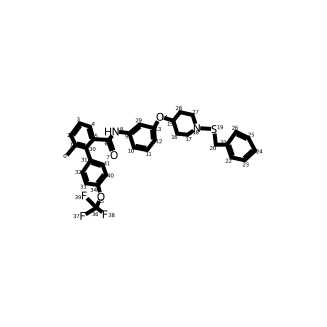 Cc1cccc(C(=O)Nc2cccc(OC3CCN(SCc4ccccc4)CC3)c2)c1-c1ccc(OC(F)(F)F)cc1